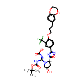 CC(C)(C)OC(=O)N/C(=N\C(=O)O)N1C[C@H](O)C[C@H]1c1nc(-c2ccc(OCCCc3ccc4c(c3)OCCO4)c(C(F)(F)F)c2)no1